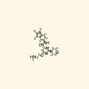 CNCCOc1cc(C(=O)Nc2ccc3c(c2)c(C)c(C)n3C)nc(N2CCOCC2)n1